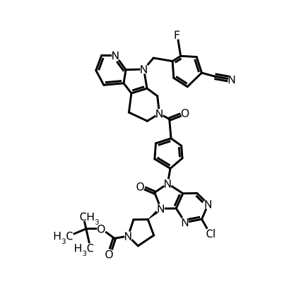 CC(C)(C)OC(=O)N1CC[C@H](n2c(=O)n(-c3ccc(C(=O)N4CCc5c(n(Cc6ccc(C#N)cc6F)c6ncccc56)C4)cc3)c3cnc(Cl)nc32)C1